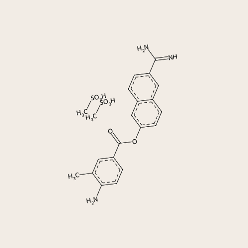 CS(=O)(=O)O.CS(=O)(=O)O.Cc1cc(C(=O)Oc2ccc3cc(C(=N)N)ccc3c2)ccc1N